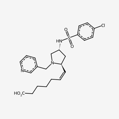 O=C(O)CCCC/C=C\[C@@H]1C[C@@H](NS(=O)(=O)c2ccc(Cl)cc2)CN1Cc1cccnc1